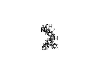 Cc1ccnn1-c1nc2cc(Nc3ccc(N4CCOCC4)c(CN4CCCC4)n3)ncc2s1